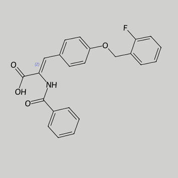 O=C(O)/C(=C/c1ccc(OCc2ccccc2F)cc1)NC(=O)c1ccccc1